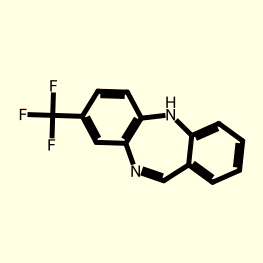 FC(F)(F)c1ccc2c(c1)N=Cc1ccccc1N2